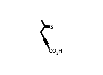 CC(=S)CC#CC(=O)O